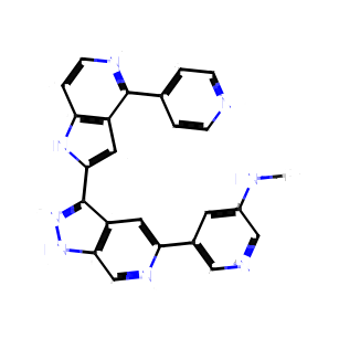 CC(C)Nc1cncc(-c2cc3c(-c4cc5c(-c6ccncc6)nccc5[nH]4)n[nH]c3cn2)c1